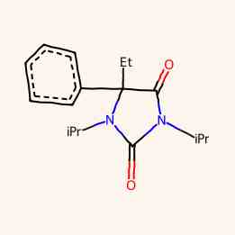 CCC1(c2ccccc2)C(=O)N(C(C)C)C(=O)N1C(C)C